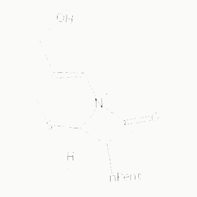 CCCCCC1C(=O)N2C=C(CO)CS[C@H]12